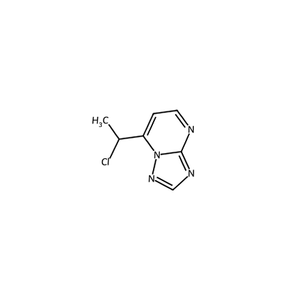 CC(Cl)c1ccnc2ncnn12